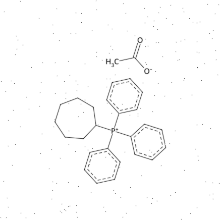 CC(=O)[O-].c1ccc([P+](c2ccccc2)(c2ccccc2)C2CCCCCC2)cc1